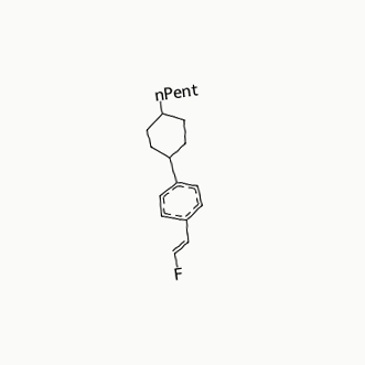 CCCCCC1CCC(c2ccc(/C=C/F)cc2)CC1